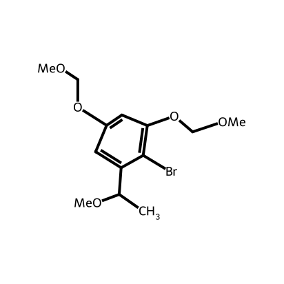 COCOc1cc(OCOC)c(Br)c(C(C)OC)c1